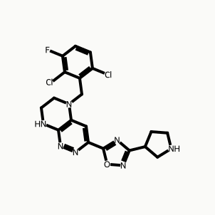 Fc1ccc(Cl)c(CN2CCNc3nnc(-c4nc(C5CCNC5)no4)cc32)c1Cl